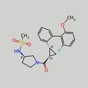 COc1cccc(F)c1-c1ccccc1[C@@H]1C[C@H]1C(=O)N1CC[C@@H](NS(C)(=O)=O)C1